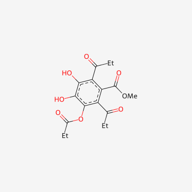 CCC(=O)Oc1c(O)c(O)c(C(=O)CC)c(C(=O)OC)c1C(=O)CC